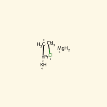 CCl.[CH2]CCC.[KH].[MgH2]